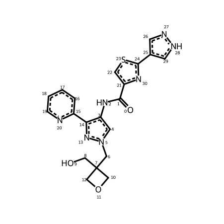 O=C(Nc1cn(CC2(CO)COC2)nc1-c1ccccn1)c1csc(-c2cn[nH]c2)n1